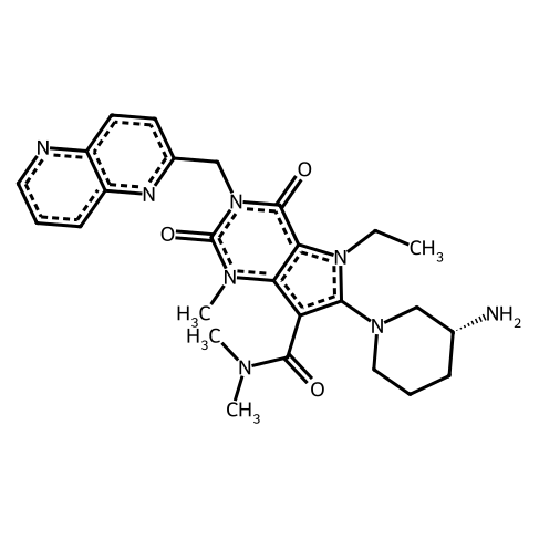 CCn1c(N2CCC[C@@H](N)C2)c(C(=O)N(C)C)c2c1c(=O)n(Cc1ccc3ncccc3n1)c(=O)n2C